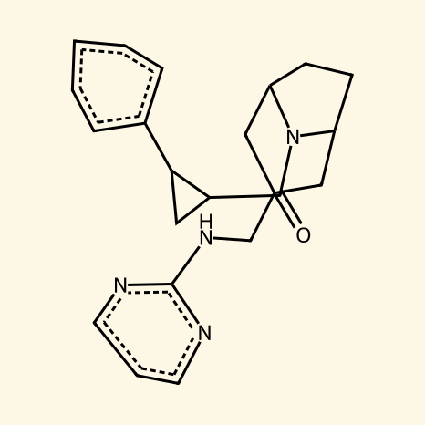 O=C(C1CC1c1ccccc1)N1C2CCC1CC(CNc1ncccn1)C2